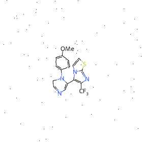 COc1ccc(N2CC=NC=C2c2c(C(F)(F)F)nc3sccn23)cc1